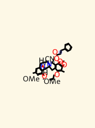 C=CCOc1c(C)c2c(c3c1CC1[C@H]4c5c(cc(C)c(OC)c5OCOC)C[C@@H]([C@H](C#N)N1[C@H]3COC(=O)/C=C/c1ccccc1)N4C)OCO2